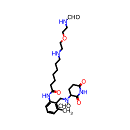 Cc1cccc(NC(=O)CCCCCCNCCOCCNC=O)c1CN(C=O)C1CCC(=O)NC1=O